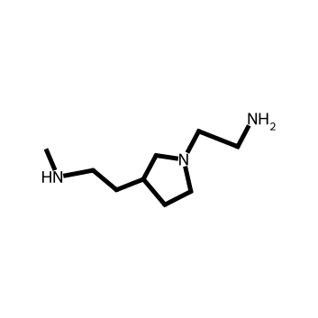 CNCCC1CCN(CCN)C1